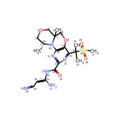 C[C@@H]1COCC2(C)COc3c(nc(C(=O)N/C(N)=C/C=N)nc3C(C)(C)S(C)(=O)=O)N12